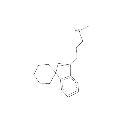 CNCCCC1=CC2(CCCCC2)c2ccccc21